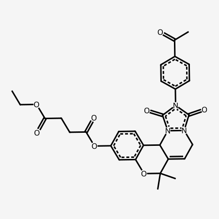 CCOC(=O)CCC(=O)Oc1ccc2c(c1)OC(C)(C)C1=CCn3c(=O)n(-c4ccc(C(C)=O)cc4)c(=O)n3C12